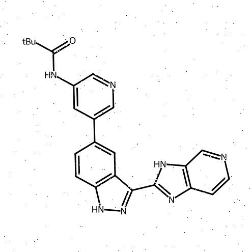 CC(C)(C)C(=O)Nc1cncc(-c2ccc3[nH]nc(-c4nc5ccncc5[nH]4)c3c2)c1